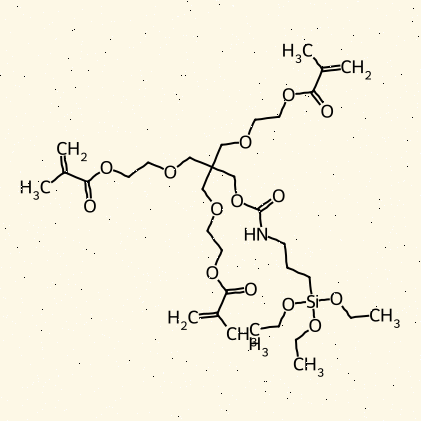 C=C(C)C(=O)OCCOCC(COCCOC(=O)C(=C)C)(COCCOC(=O)C(=C)C)COC(=O)NCCC[Si](OCC)(OCC)OCC